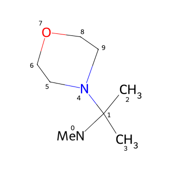 CNC(C)(C)N1CCOCC1